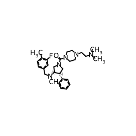 Cc1ccc(CN(C)[C@H]2CN(C(=O)N3CCN(CCN(C)C)CC3)C[C@@H]2c2ccccc2)cc1F